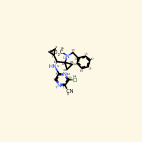 N#Cc1ncc(N[C@H](C2CC2)C2(N(Cc3ccccc3)C(=O)O)CC2)nc1Cl